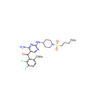 COc1ccc(F)c(F)c1C(=O)c1cnc(NC2CCN(S(=O)(=O)CCCOC(C)=O)CC2)nc1N